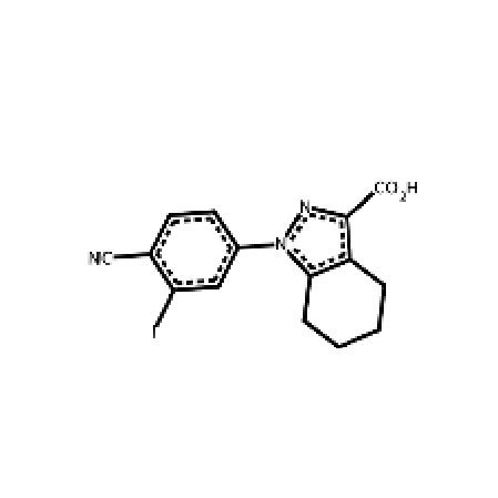 N#Cc1ccc(-n2nc(C(=O)O)c3c2CCCC3)cc1I